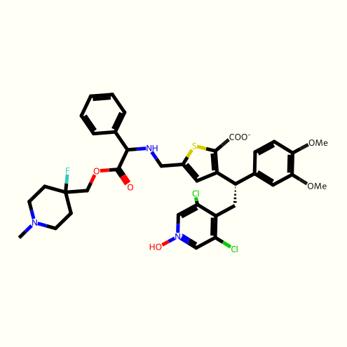 COc1ccc([C@H](Cc2c(Cl)c[n+](O)cc2Cl)c2cc(CNC(C(=O)OCC3(F)CCN(C)CC3)c3ccccc3)sc2C(=O)[O-])cc1OC